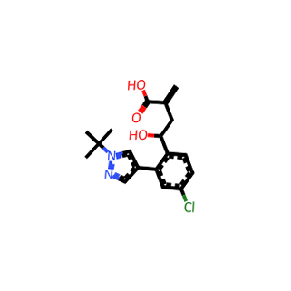 C=C(CC(O)c1ccc(Cl)cc1-c1cnn(C(C)(C)C)c1)C(=O)O